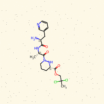 C[C@H](NC(=O)[C@@H](N)Cc1cccnc1)C(=O)N1CCC[C@@H](C(=O)OCC(C)(Cl)Cl)N1